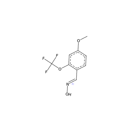 COc1ccc(/C=N/O)c(OC(F)(F)F)c1